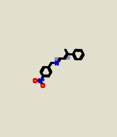 C/C(=C\C=N\Cc1ccc([N+](=O)[O-])cc1)c1ccccc1